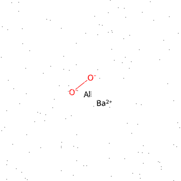 [Al].[Ba+2].[O-][O-]